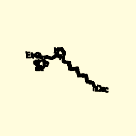 CCCCCCCCCCCCCCCCCCN1CCN=C1CC[Si](OCC)(OCC)OCC